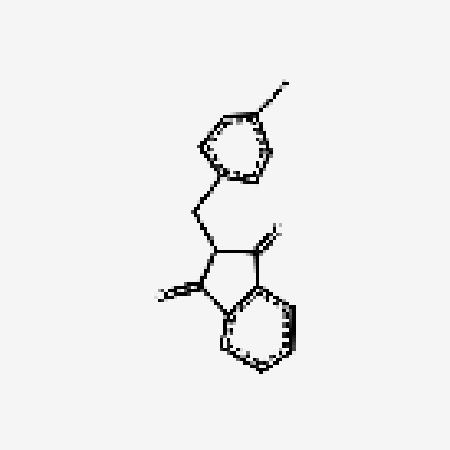 O=C1c2ccccc2C(=O)C1Cc1ccc(F)cc1